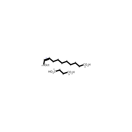 CCCCCCCC/C=C\CCCCCCCC(=O)O.O=C(O)CCC(=O)O